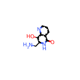 NCc1[nH]c(=O)c2cccnc2c1O